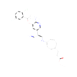 CC(Oc1cc(/C(C=N)=C/NC2CCCC(CCC(=O)OC(C)(C)C)CC2)cnc1N)c1cc(F)ccc1Cl